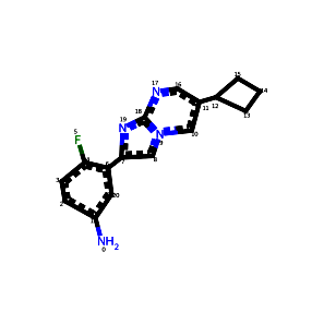 Nc1ccc(F)c(-c2cn3cc(C4CCC4)cnc3n2)c1